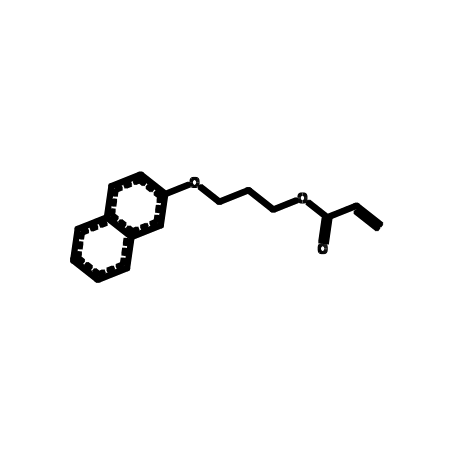 C=CC(=O)OCCCOc1ccc2ccccc2c1